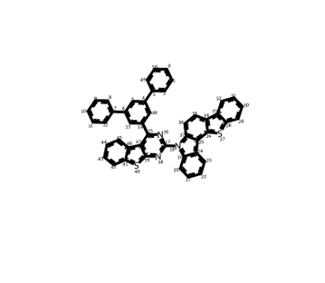 c1ccc(-c2cc(-c3ccccc3)cc(-c3nc(-n4c5ccccc5c5c6sc7ccccc7c6ccc54)nc4sc5ccccc5c34)c2)cc1